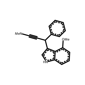 CNC#CC(c1ccccc1)c1c[nH]c2cccc(OC)c12